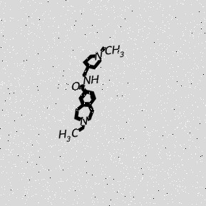 CCN1CCc2ccc(C(=O)NCC3CCN(CC)CC3)cc2CC1